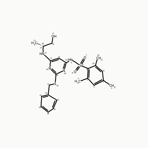 Cc1cc(C)c(S(=O)(=O)Nc2cc(N[C@H](C)CO)nc(SCc3ccccc3)n2)c(C)c1